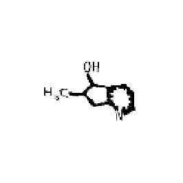 CC1Cc2ncccc2C1O